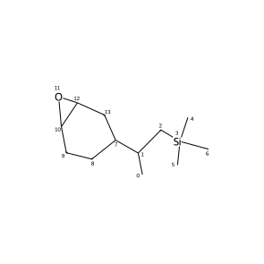 CC(C[Si](C)(C)C)C1CCC2OC2C1